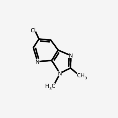 Cc1nc2cc(Cl)cnc2n1C